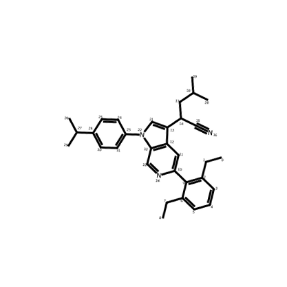 CCc1cccc(CC)c1-c1cc2c(C(C#N)CC(C)C)cn(-c3ccc(C(C)C)cc3)c2cn1